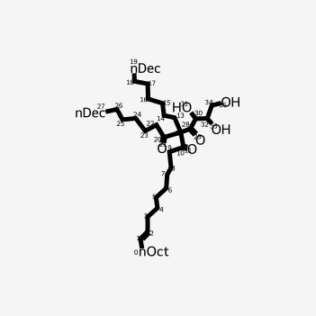 CCCCCCCCC=CCCCCCCCC(=O)C(CCCCCCCCCCCCCCCC)(C(=O)CCCCCCCCCCCCCCC)C(=O)C(O)C(O)CO